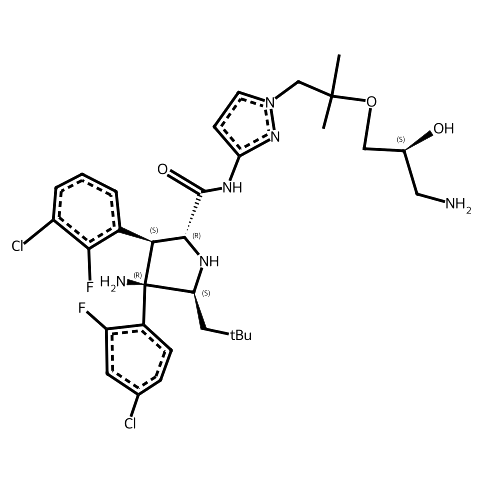 CC(C)(C)C[C@@H]1N[C@@H](C(=O)Nc2ccn(CC(C)(C)OC[C@@H](O)CN)n2)[C@H](c2cccc(Cl)c2F)[C@@]1(N)c1ccc(Cl)cc1F